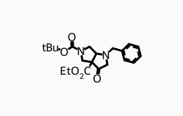 CCOC(=O)C12CN(C(=O)OC(C)(C)C)CC1N(Cc1ccccc1)CC2=O